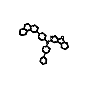 c1ccc(-c2ccc(N(c3ccc(-c4ccc5ccc6ccccc6c5c4)cc3)c3cc4c(cn3)oc3ccccc34)cc2)cc1